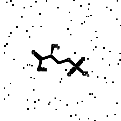 COC(=O)[C@H](C)COS(=O)(=O)C(F)(F)F